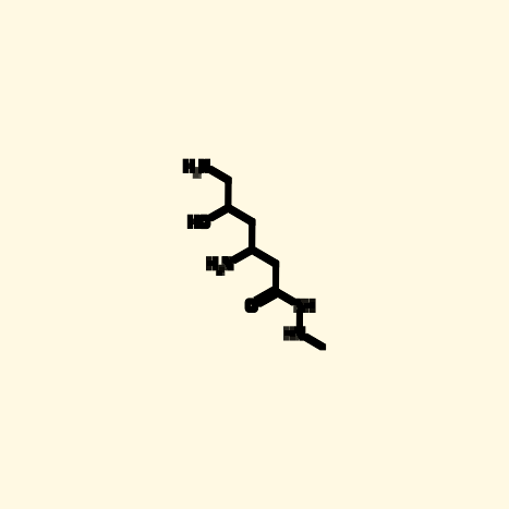 CNNC(=O)CC(N)CC(O)CN